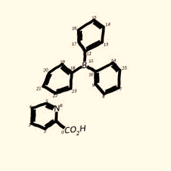 O=C(O)c1ccccn1.c1ccc(B(c2ccccc2)c2ccccc2)cc1